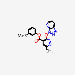 CSc1cccc(OC(=O)c2cc(C)nnc2On2nnc3cccnc32)c1